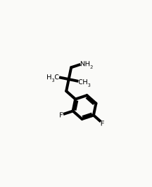 CC(C)(CN)Cc1ccc(F)cc1F